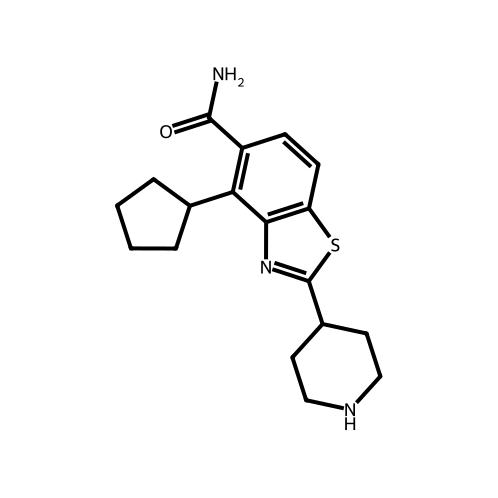 NC(=O)c1ccc2sc(C3CCNCC3)nc2c1C1CCCC1